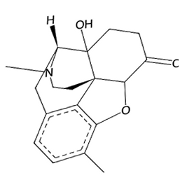 Cc1ccc2c3c1OC1C(=O)CCC4(O)[C@@H](C2)N(C)CC[C@]314